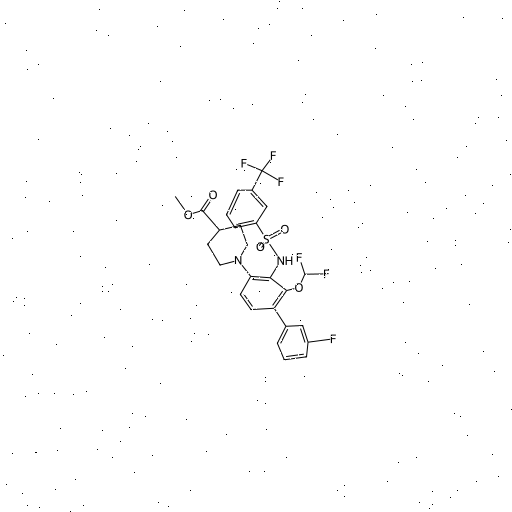 COC(=O)C1CCN(c2ccc(-c3cccc(F)c3)c(OC(F)F)c2NS(=O)(=O)c2cccc(C(F)(F)F)c2)CC1